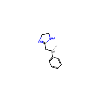 C[C@@H](CC1=NCCN1)c1ccccc1